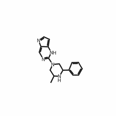 CC1CN(c2ncc3nccc-3[nH]2)CC(c2ccccc2)N1